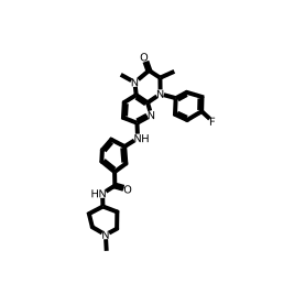 CC1C(=O)N(C)c2ccc(Nc3cccc(C(=O)NC4CCN(C)CC4)c3)nc2N1c1ccc(F)cc1